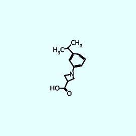 CC(C)c1cccc(N2CC(C(=O)O)C2)c1